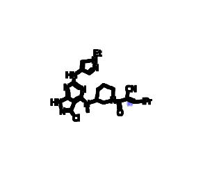 CCn1cc(Nc2nc(N(C)C3CCCN(C(=O)/C(C#N)=C/C(C)C)C3)c3c(Cl)n[nH]c3n2)cn1